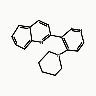 [c]1nccc(N2CCCCC2)c1-c1ccc2ccccc2n1